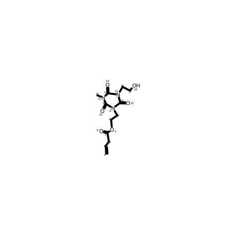 C=CCC(=O)OCCn1c(=O)n(C)c(=O)n(CCO)c1=O